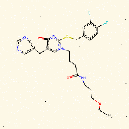 CCOCCCNC(=O)CCCn1cc(Cc2cncnc2)c(=O)nc1SCc1ccc(F)c(F)c1